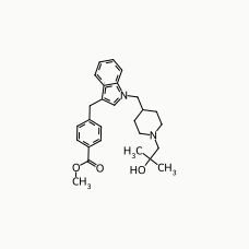 COC(=O)c1ccc(Cc2cn(CC3CCN(CC(C)(C)O)CC3)c3ccccc23)cc1